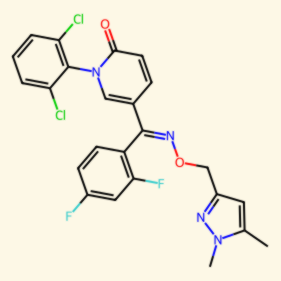 Cc1cc(CON=C(c2ccc(=O)n(-c3c(Cl)cccc3Cl)c2)c2ccc(F)cc2F)nn1C